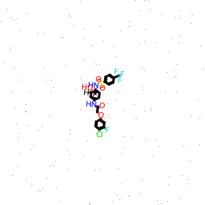 O=C(COc1ccc(Cl)c(F)c1)NC12CCC(NS(=O)(=O)c3ccc(C(F)(F)F)cc3)(CC1)[C@@H](O)C2